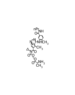 CCCNC(=O)c1ccc(C)c(Nc2ncnn3cc(C(=O)N(C(=O)OCOC(=O)C(C)N)C4CC4)c(C)c23)c1